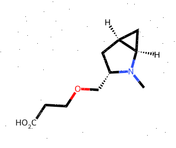 CN1[C@H](COCCC(=O)O)C[C@H]2C[C@H]21